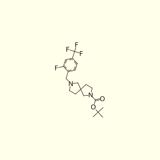 CC(C)(C)OC(=O)N1CCC2(CCN(Cc3ccc(C(F)(F)F)cc3F)C2)C1